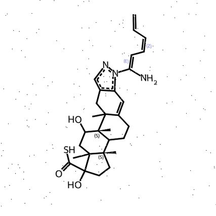 C=C/C=C\C=C(/N)n1ncc2c1C=C1CCC3[C@](C)(C(O)CC4(C)C(O)(C(=O)S)CC[C@@]34C)C1(C)C2